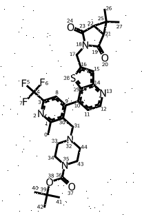 Cc1nc(C(F)(F)F)cc(-c2ccnc3cc(CN4C(=O)C5C(C4=O)C5(C)C)sc23)c1CN1CCN(C(=O)OC(C)(C)C)CC1